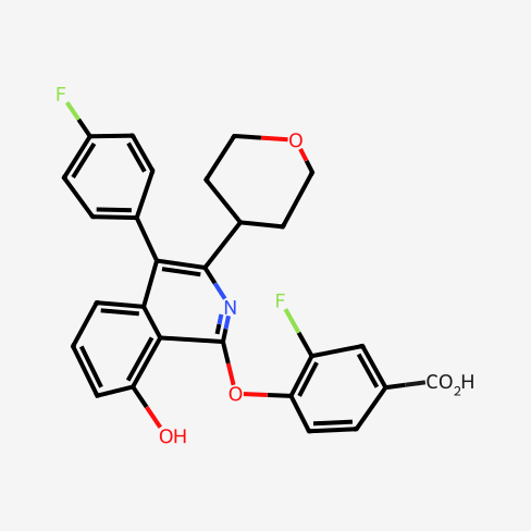 O=C(O)c1ccc(Oc2nc(C3CCOCC3)c(-c3ccc(F)cc3)c3cccc(O)c23)c(F)c1